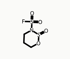 O=S1OCCCN1S(=O)(=O)F